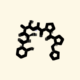 C/C(=C\C(C(C)C)N(C)C(=O)[C@@H](NC(=O)[C@H]1CCCCN1C(C)C)C(C)(C)C)C(=O)N1CCC[C@H]1C(=O)N1CCC[C@H]1CN1CCCC1